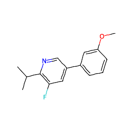 COc1cccc(-c2cnc(C(C)C)c(F)c2)c1